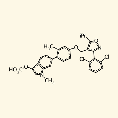 Cc1cc(OCc2c(-c3c(Cl)cccc3Cl)noc2C(C)C)ccc1-c1ccc2c(OC(=O)O)cn(C)c2c1